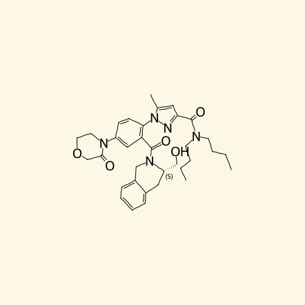 CCCCN(CCCC)C(=O)c1cc(C)n(-c2ccc(N3CCOCC3=O)cc2C(=O)N2Cc3ccccc3C[C@H]2CO)n1